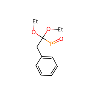 CCOC(Cc1ccccc1)(OCC)P=O